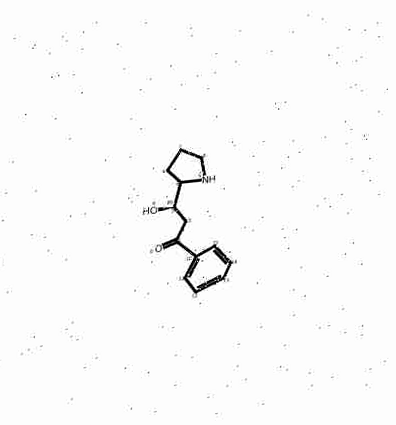 O=C(C[C@@H](O)C1CCCN1)c1ccccc1